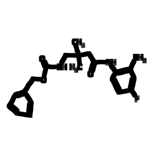 CC(C)(CNC(=O)OCc1ccccc1)CC(=O)Nc1ccc(F)cc1N